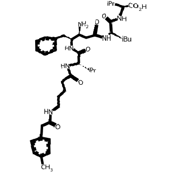 CC[C@H](C)[C@H](NC(=O)C[C@H](N)[C@H](Cc1ccccc1)NC(=O)[C@@H](NC(=O)CCCCNC(=O)Cc1ccc(C)cc1)C(C)C)C(=O)N[C@H](C(=O)O)C(C)C